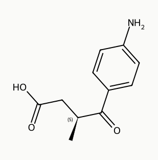 C[C@@H](CC(=O)O)C(=O)c1ccc(N)cc1